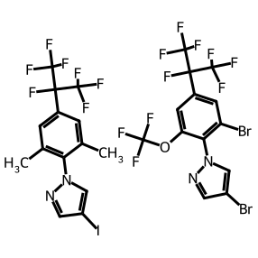 Cc1cc(C(F)(C(F)(F)F)C(F)(F)F)cc(C)c1-n1cc(I)cn1.FC(F)(F)Oc1cc(C(F)(C(F)(F)F)C(F)(F)F)cc(Br)c1-n1cc(Br)cn1